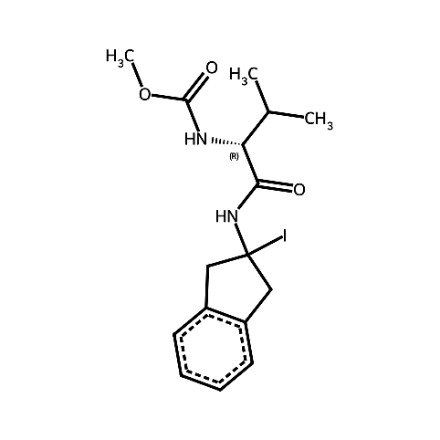 COC(=O)N[C@@H](C(=O)NC1(I)Cc2ccccc2C1)C(C)C